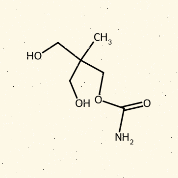 CC(CO)(CO)COC(N)=O